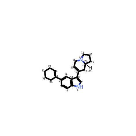 C1=C(c2ccc3[nH]cc(C4=CCN5CCC[C@H]5C4)c3c2)CCCC1